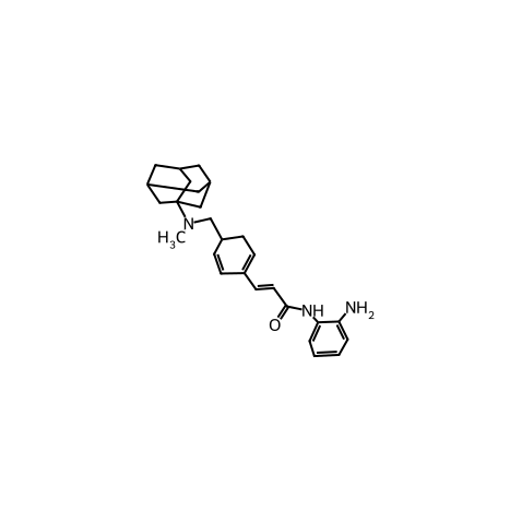 CN(CC1C=CC(/C=C/C(=O)Nc2ccccc2N)=CC1)C12CC3CC(CC(C3)C1)C2